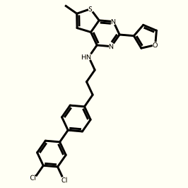 Cc1cc2c(NCCCc3ccc(-c4ccc(Cl)c(Cl)c4)cc3)nc(-c3ccoc3)nc2s1